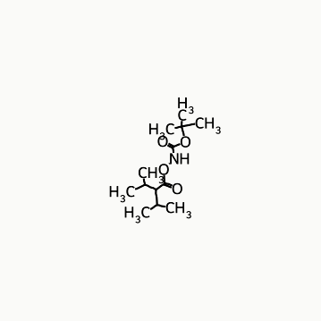 CC(C)C(C(=O)ONC(=O)OC(C)(C)C)C(C)C